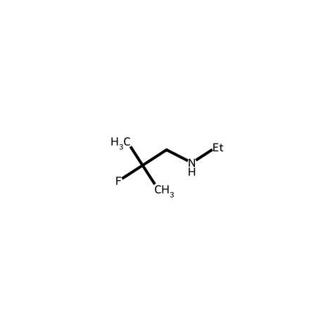 CCNCC(C)(C)F